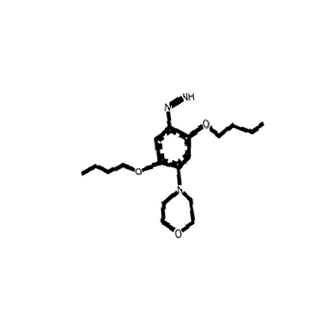 CCCCOc1cc(N2CCOCC2)c(OCCCC)cc1N=N